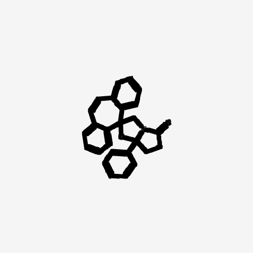 O=C1CCC2(c3ccccc3)OC3(CN12)c1ccccc1C=Cc1ccccc13